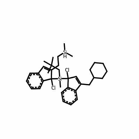 C[SiH](C)CCC1=Cc2ccccc2C1(Cl)[Si](C)(CC(C)(C)C)C1(Cl)C=C(CC2CCCCC2)c2ccccc21